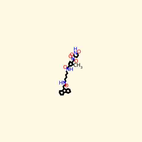 Cc1cc(C(=O)NCCCCCCNC(=O)CC2c3ccccc3-c3ccccc32)ccc1C(=O)N(C=O)C1CCC(=O)NC1=O